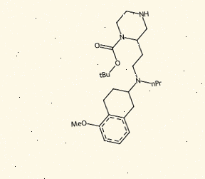 CCCN(CCC1CNCCN1C(=O)OC(C)(C)C)C1CCc2c(cccc2OC)C1